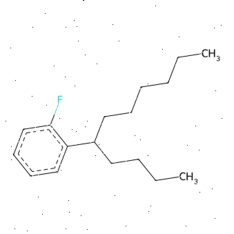 CCCCCCC(CCCC)c1ccccc1F